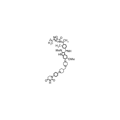 CNc1[nH]c2cc(N3CCN(CC4CCN(c5ccc(N6CCC(=O)NC6=O)cc5)CC4)CC3)c(OC)cc2c1C(=N)c1ccc([C@@H](C)NC(=O)c2nc(C3(C)CC3)no2)c(C)c1